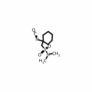 CN(C)S(=O)(=O)CC1(N=C=O)CCCCC1